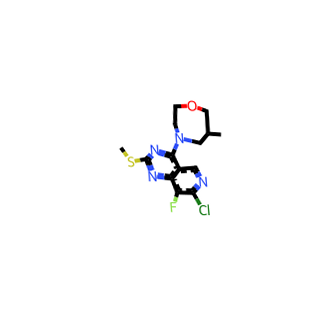 CSc1nc(N2CCOCC(C)C2)c2cnc(Cl)c(F)c2n1